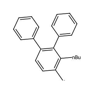 [CH2]c1ccc(-c2ccccc2)c(-c2ccccc2)c1CCCC